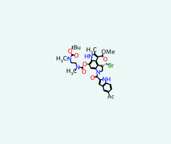 COC(=O)c1c(C)[nH]c2c(OC(=O)N(C)CCN(C)C(=O)OC(C)(C)C)cc3c(c12)[C@H](CBr)CN3C(=O)c1cc2cc(C(C)=O)ccc2[nH]1